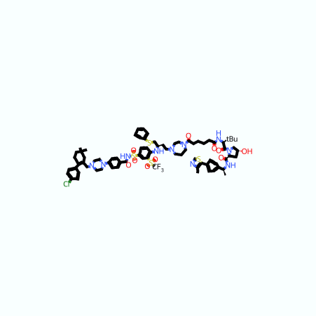 Cc1ncsc1-c1ccc([C@H](C)NC(=O)[C@@H]2C[C@@H](O)CN2C(=O)[C@@H](NC(=O)CCCCC(=O)N2CCCN(CC[C@H](CSc3ccccc3)Nc3ccc(S(=O)(=O)NC(=O)c4ccc(N5CCN(CC6=C(c7ccc(Cl)cc7)CCC(C)(C)C6)CC5)cc4)cc3S(=O)(=O)C(F)(F)F)CC2)C(C)(C)C)cc1